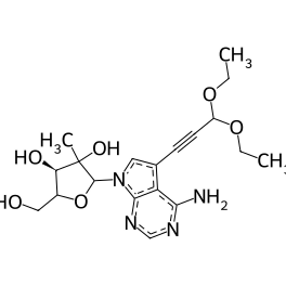 CCOC(C#Cc1cn(C2OC(CO)[C@@H](O)C2(C)O)c2ncnc(N)c12)OCC